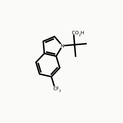 CC(C)(C(=O)O)n1ccc2ccc(C(F)(F)F)cc21